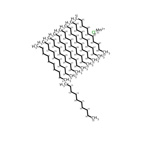 CCCCCCCCCC.CCCCCCCCCC.CCCCCCCCCC.CCCCCCCCCC.CCCCCCCCCC.CCCCCCCCCC.CCCCCCCCCC.CCCCCCCCCC.CCCCCCCCCC.[Cl-].[Mn+2]